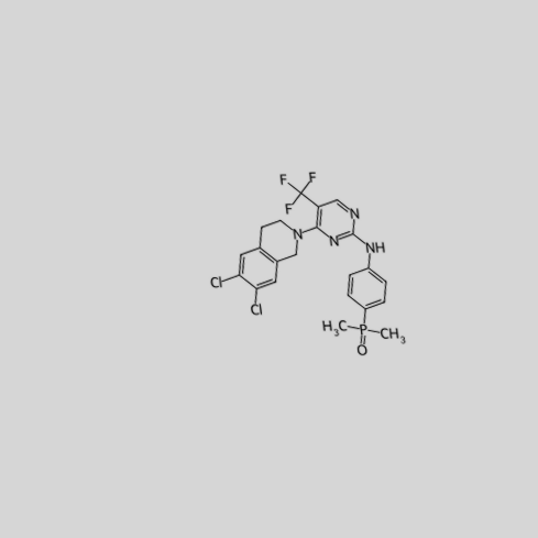 CP(C)(=O)c1ccc(Nc2ncc(C(F)(F)F)c(N3CCc4cc(Cl)c(Cl)cc4C3)n2)cc1